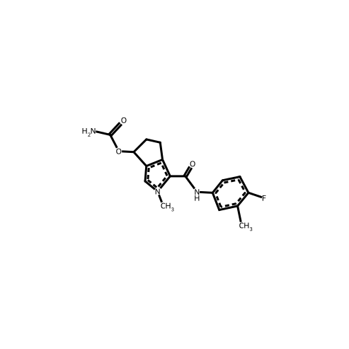 Cc1cc(NC(=O)c2c3c(cn2C)C(OC(N)=O)CC3)ccc1F